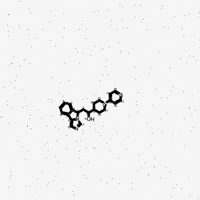 OC(CC1c2ccccc2-c2cncn21)C1CCN(c2ccncc2)CC1